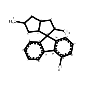 CC1CC2CC(C)C3(c4ccccc4-c4c(Cl)cccc43)C2C1